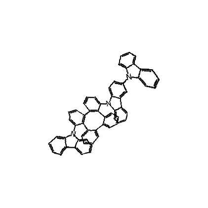 c1ccc2c(c1)-c1ccccc1-c1c(cccc1-n1c3ccccc3c3cc(-n4c5ccccc5c5ccccc54)ccc31)-c1cccc(-n3c4ccccc4c4ccccc43)c1-2